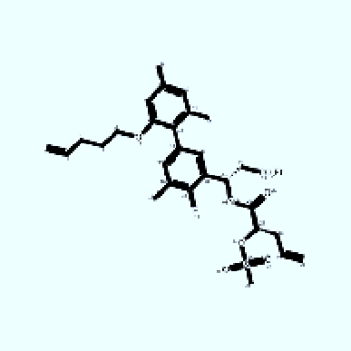 C=CCCCOc1cc(C)cc(C)c1-c1cc(C)c(F)c([C@H](CC(=O)OCC)NC(=O)[C@@H](CC=C)OS(C)(=O)=O)c1